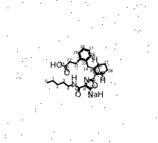 CCCCCNC(=O)c1coc([C@H]2[C@@H](Cc3ccccc3CCC(=O)O)[C@@H]3CC[C@H]2O3)n1.[NaH]